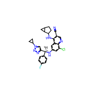 [2H][C@](Nc1cc(Cl)c2ncc(C#N)c(NC3CCC4CC43)c2c1)(c1ccc(F)cc1)c1cn(C2CC2)nn1